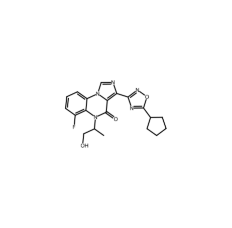 CC(CO)n1c(=O)c2c(-c3noc(C4CCCC4)n3)ncn2c2cccc(F)c21